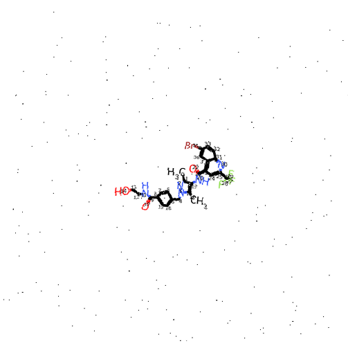 Cc1nn(Cc2ccc(C(=O)NCCO)cc2)c(C)c1NC(=O)c1cc(C(F)(F)F)nc2ccc(Br)cc12